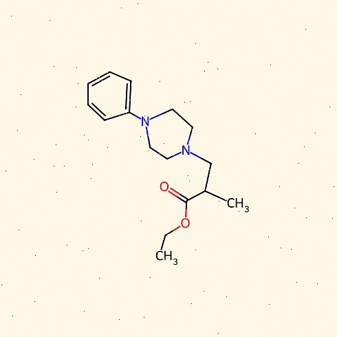 CCOC(=O)C(C)CN1CCN(c2ccccc2)CC1